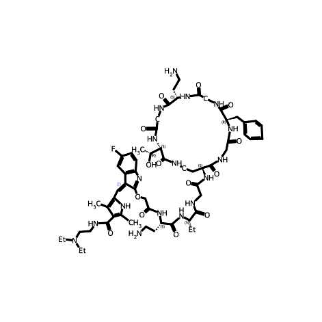 CC[C@H](NC(=O)[C@H](CCN)NC(=O)COC1=Nc2ccc(F)cc2/C1=C/c1[nH]c(C)c(C(=O)NCCN(CC)CC)c1C)C(=O)NCC(=O)N[C@H]1CCNC(=O)[C@H]([C@@H](C)O)NC(=O)CNC(=O)[C@H](CCN)NC(=O)CNC(=O)[C@@H](Cc2ccccc2)NC(=O)CNC1=O